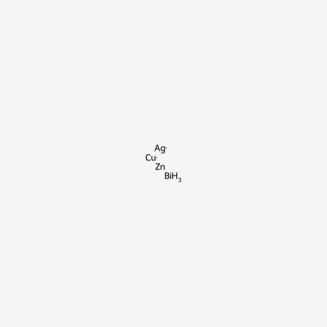 [Ag].[BiH3].[Cu].[Zn]